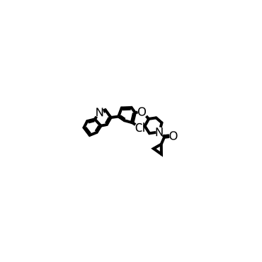 O=C(C1CC1)N1CCC(Oc2ccc(-c3cnc4ccccc4c3)cc2Cl)CC1